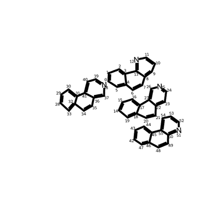 c1ccc2c(c1)ccc1cccnc12.c1ccc2c(c1)ccc1ccncc12.c1ccc2c(c1)ccc1cnccc12.c1ccc2c(c1)ccc1ncccc12